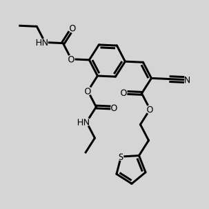 CCNC(=O)Oc1ccc(C=C(C#N)C(=O)OCCc2cccs2)cc1OC(=O)NCC